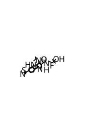 CC(C)Nc1c(C(=O)NC[C@@H](F)C(C)(C)O)cnc2c1[nH]c1cc(-c3cncs3)ccc12